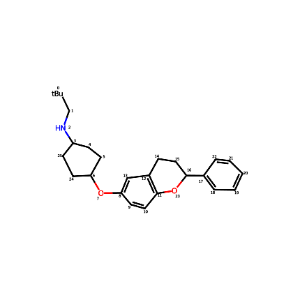 CC(C)(C)CNC1CCC(Oc2ccc3c(c2)CCC(c2ccccc2)O3)CC1